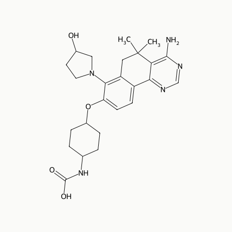 CC1(C)Cc2c(ccc(OC3CCC(NC(=O)O)CC3)c2N2CCC(O)C2)-c2ncnc(N)c21